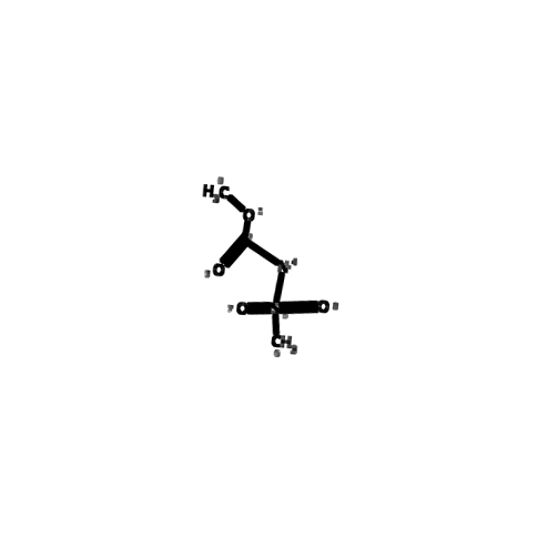 COC(=O)[N]S(C)(=O)=O